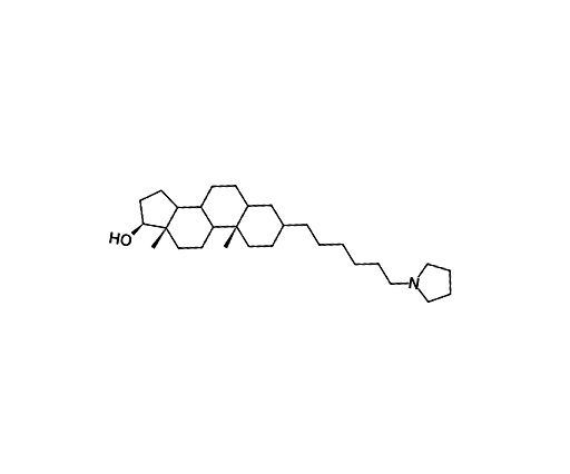 C[C@]12CCC(CCCCCCN3CCCC3)CC1CCC1C2CC[C@@]2(C)C1CC[C@@H]2O